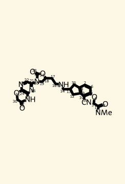 CNC(=O)COc1ccc2c(c1C#N)CC(CNCCC1CN(c3cnc4c(n3)NC(=O)CO4)C(=O)O1)C2